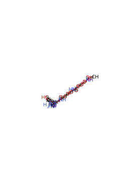 C#CCOC(=O)NCCOCCOCCOCCC(=O)NCCOCCOCCOCCC(=O)NCCCCn1nc(-c2cc3cc(O)ccc3[nH]2)c2c(N)ncnc21